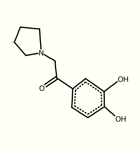 O=C(CN1C[CH]CC1)c1ccc(O)c(O)c1